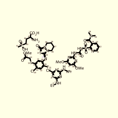 CCNc1nc(Cl)nc(NC(C)C)n1.COC(=O)CSc1cc(/N=c2\sc(=O)n3n2CCCC3)c(F)cc1Cl.COc1cc(OC)nc(NC(=O)NS(=O)(=O)c2ncccc2C(=O)N(C)C)n1.CP(=O)(O)CCC(N)C(=O)O